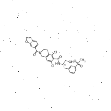 CS(=O)(=O)c1cccc(C[C@@H](CO)NC(=O)c2c(Cl)cc3c(c2Cl)CCN(C(=O)c2ccc4ccoc4c2)C3)c1